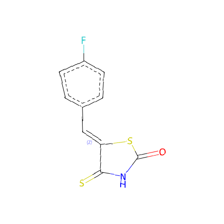 O=C1NC(=S)/C(=C/c2ccc(F)cc2)S1